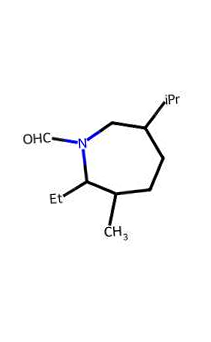 CCC1C(C)CCC(C(C)C)CN1C=O